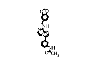 CC(=O)Nc1cccc(-c2cnc3c(NCc4ccc5c(c4)OCO5)nccn23)c1